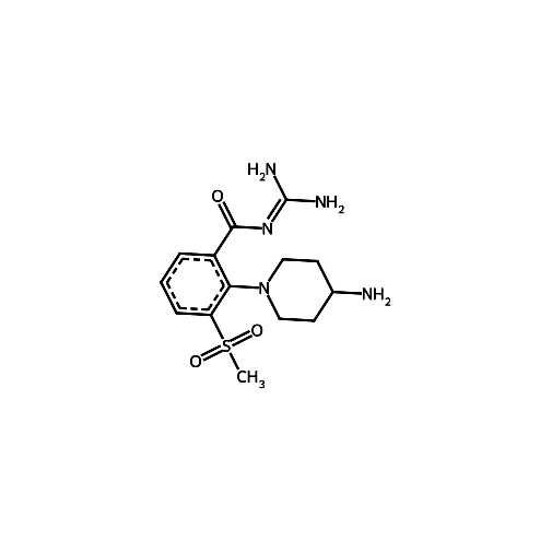 CS(=O)(=O)c1cccc(C(=O)N=C(N)N)c1N1CCC(N)CC1